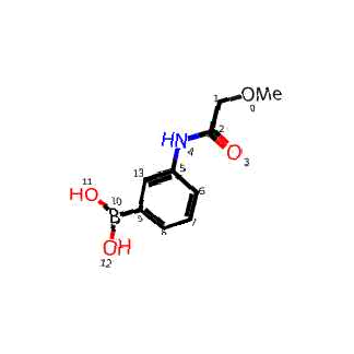 COCC(=O)Nc1cccc(B(O)O)c1